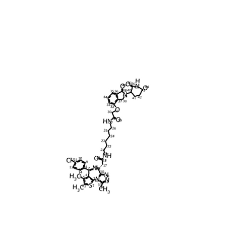 Cc1sc2c(c1C)C(c1ccc(Cl)cc1)=N[C@H](CC(=O)NCCCCCCNC(=O)COc1cccc3c1CN(C1CCC(=O)NC1=O)C3=O)c1nnc(C)n1-2